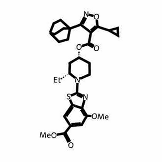 CC[C@@H]1C[C@H](OC(=O)c2c(C34CCC(CC3)CC4)noc2C2CC2)CCN1c1nc2c(OC)cc(C(=O)OC)cc2s1